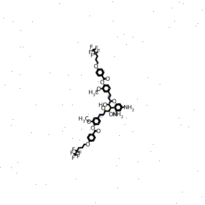 COc1cc(/C=C/C(=O)C(O)C(c2ccc(N)cc2N)C(O)C(=O)/C=C/c2ccc(OC(=O)c3ccc(OCCCC(F)(F)C(F)(F)F)cc3)c(OC)c2)ccc1OC(=O)c1ccc(OCCCC(F)(F)C(F)(F)F)cc1